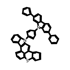 c1ccc(-c2ccc3c4ccc(-c5ccccc5)cc4n(-c4ccc(-n5c6ccccc6c6c7cccc8c7c(cc65)-c5ccccc5S8)cc4)c3c2)cc1